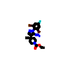 CC(C)(C)OC(=O)N1CCC(C#N)(c2cnn(-c3c(Br)cc(F)cc3Br)c2N)CC1